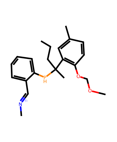 CCCC(C)(Pc1ccccc1/C=N/C)c1cc(C)ccc1OCOC